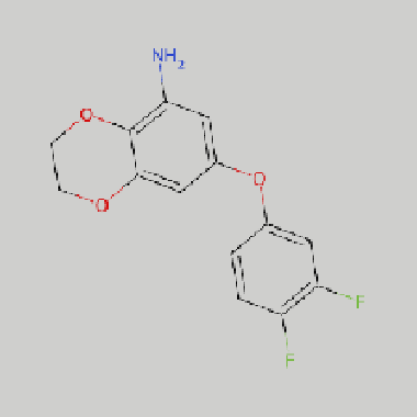 Nc1cc(Oc2ccc(F)c(F)c2)cc2c1OCCO2